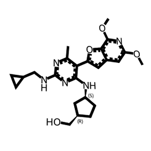 COc1cc2cc(-c3c(C)nc(NCC4CC4)nc3N[C@H]3CC[C@@H](CO)C3)oc2c(OC)n1